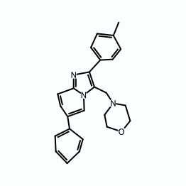 Cc1ccc(-c2nc3ccc(-c4ccccc4)cn3c2CN2CCOCC2)cc1